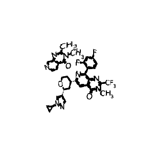 Cc1nc2cnccc2c(=O)n1C.Cn1c(C(F)(F)F)nc2c(-c3ccc(F)cc3F)nc([C@H]3CCO[C@@H](c4cnn(C5CC5)c4)C3)cc2c1=O